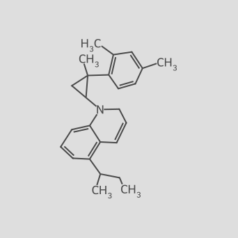 CCC(C)c1cccc2c1C=CCN2C1CC1(C)c1ccc(C)cc1C